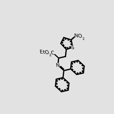 CCOC(=O)C(Cc1ccc([N+](=O)[O-])s1)N=C(c1ccccc1)c1ccccc1